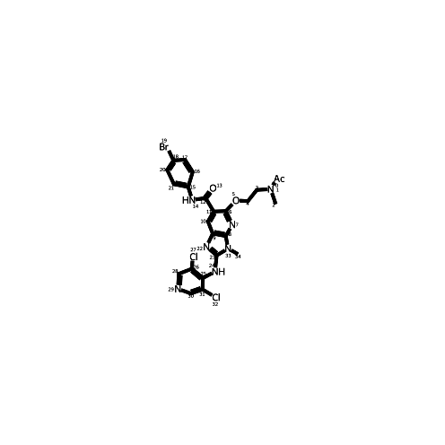 CC(=O)N(C)CCOc1nc2c(cc1C(=O)Nc1ccc(Br)cc1)nc(Nc1c(Cl)cncc1Cl)n2C